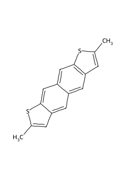 Cc1cc2cc3cc4cc(C)sc4cc3cc2s1